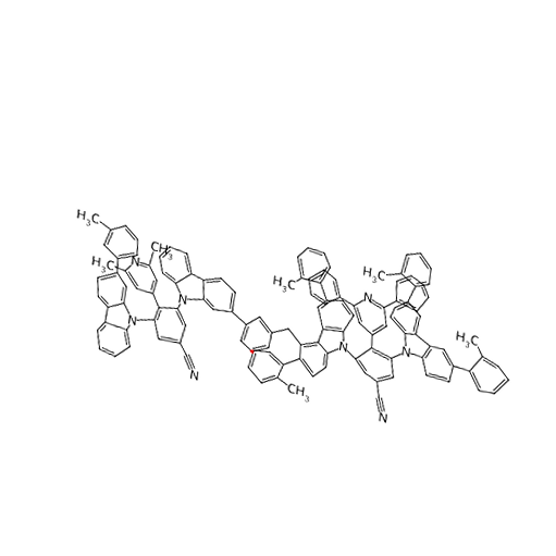 Cc1cccc(-c2ccc3c4ccccc4n(-c4cc(C#N)cc(-n5c6ccccc6c6ccc(-c7cccc(Cc8c(-c9ccccc9C)ccc9c8c8cc(-c%10ccccc%10C)ccc8n9-c8cc(C#N)cc(-n9c%10ccc(-c%11ccccc%11C)cc%10c%10cc(-c%11ccccc%11C)ccc%109)c8-c8cc(-c9ccccc9)nc(-c9ccccc9)c8)c7)cc65)c4-c4cc(C)nc(C)c4)c3c2)c1